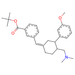 COc1cccc(C2CC(=Cc3cccc(C(=O)OC(C)(C)C)c3)CCC2CN(C)C)c1